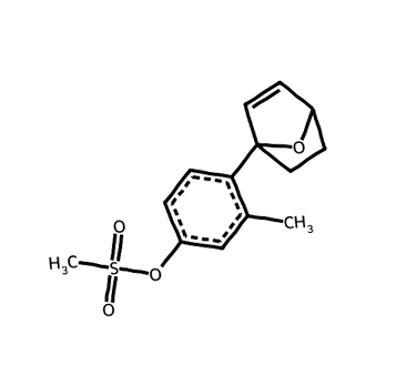 Cc1cc(OS(C)(=O)=O)ccc1C12C=CC(CC1)O2